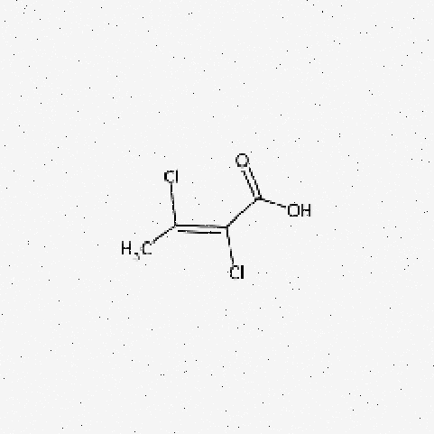 CC(Cl)=C(Cl)C(=O)O